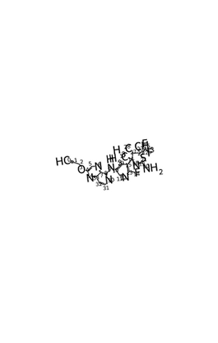 C#CCOc1cnc2c(Nc3cnc(F)c([C@@]4(C)N=C(N)S[C@](C)(C(F)F)[C@H]4C)c3)nccc2n1